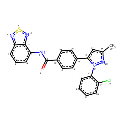 O=C(Nc1cccc2nsnc12)c1ccc(-c2cc(C(F)(F)F)nn2-c2ccccc2Cl)cc1